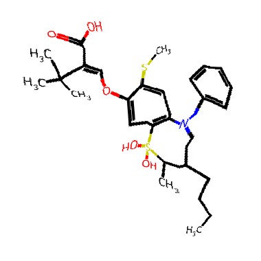 CCCCC1CN(c2ccccc2)c2cc(SC)c(O/C=C(/C(=O)O)C(C)(C)C)cc2S(O)(O)C1C